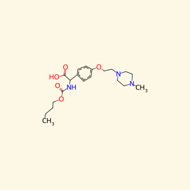 CCCCOC(=O)NC(C(=O)O)c1ccc(OCCN2CCN(C)CC2)cc1